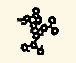 Cc1ccccc1-c1cc(-c2cc3c4c(c2)Sc2cc(N(c5ccccc5)c5ccccc5)ccc2B4c2ccc(-c4c(-n5c6ccccc6c6ccccc65)ccc(C#N)c4C(C)(C)C)cc2O3)cc(-c2ccccc2C)c1